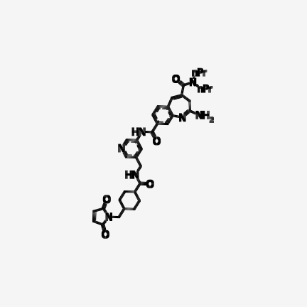 CCCN(CCC)C(=O)C1=Cc2ccc(C(=O)Nc3cncc(CNC(=O)C4CCC(CN5C(=O)C=CC5=O)CC4)c3)cc2N=C(N)C1